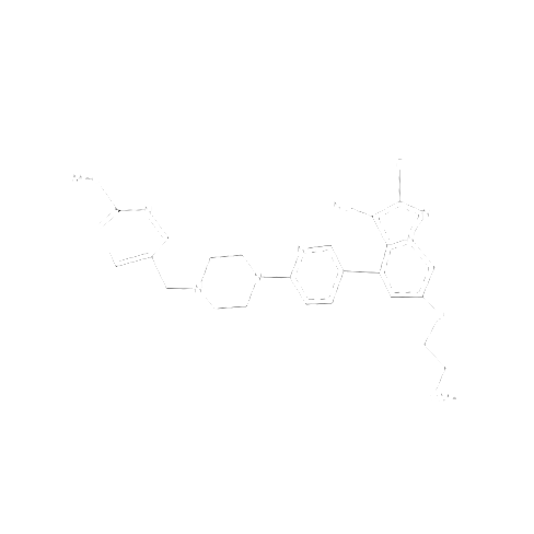 C=C(/N=C\C(=C/C)CN1CCN(c2ccc(-c3cc(OCCOC)cn4nc(F)c(C#N)c34)cn2)CC1)OC